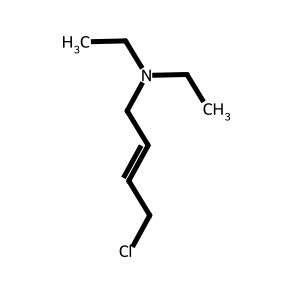 CCN(CC)CC=CCCl